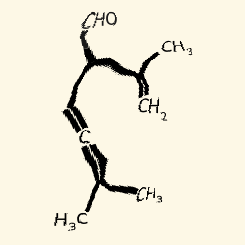 C=C(C)C(C=O)C=C=C(C)C